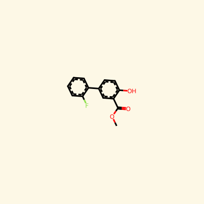 COC(=O)c1cc(-c2ccccc2F)ccc1O